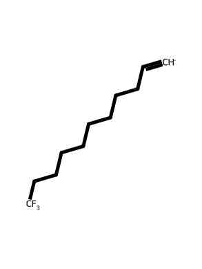 [CH]=CCCCCCCCCC(F)(F)F